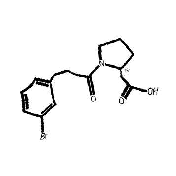 O=C(O)[C@@H]1CCCN1C(=O)Cc1cccc(Br)c1